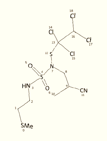 CSCCNS(=O)(=O)N(CC(C)C#N)SC(Cl)(Cl)C(Cl)Cl